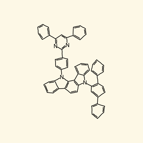 c1ccc(-c2ccc(-c3ccccc3)c(-n3c4ccccc4c4c3ccc3c5ccccc5n(-c5ccc(-c6nc(-c7ccccc7)cc(-c7ccccc7)n6)cc5)c34)c2)cc1